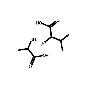 CC(C)C(N)C(=O)O.CC(N)C(=O)O